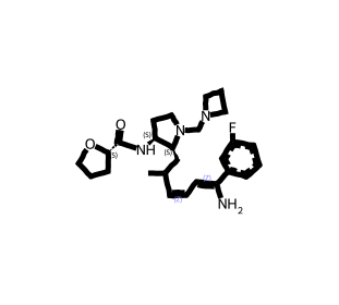 CC(/C=C\C=C(/N)c1cccc(F)c1)C[C@H]1[C@@H](NC(=O)[C@@H]2CCCO2)CCN1CN1CCC1